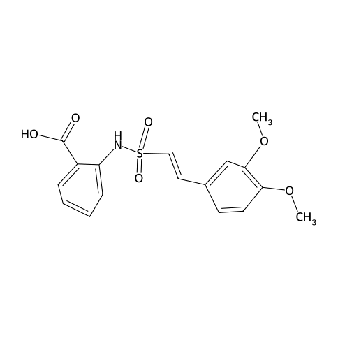 COc1ccc(/C=C/S(=O)(=O)Nc2ccccc2C(=O)O)cc1OC